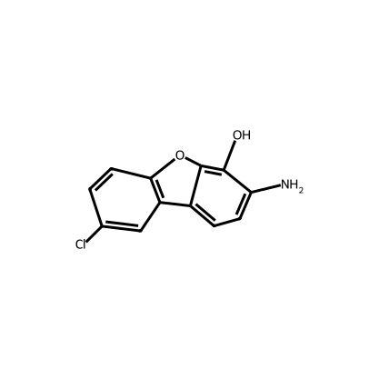 Nc1ccc2c(oc3ccc(Cl)cc32)c1O